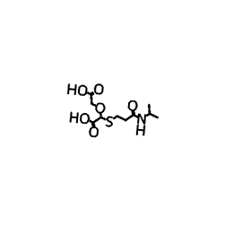 CC(C)NC(=O)CCSC(OCC(=O)O)C(=O)O